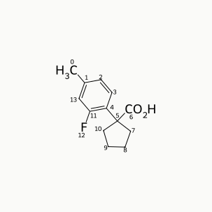 Cc1ccc(C2(C(=O)O)CCCC2)c(F)c1